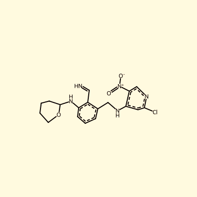 N=Cc1c(CNc2cc(Cl)ncc2[N+](=O)[O-])cccc1NC1CCCCO1